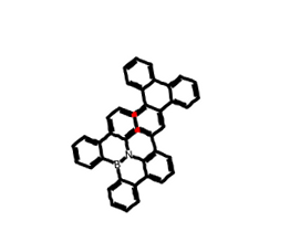 c1ccc2c(c1)B1c3ccccc3-c3cccc(-c4ccc5c6ccccc6c6ccccc6c5c4)c3N1c1ccccc1-2